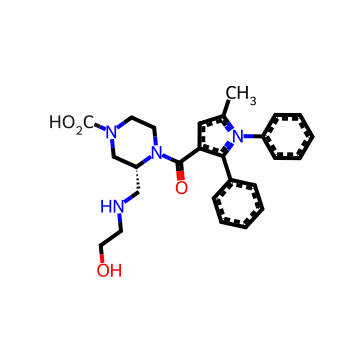 Cc1cc(C(=O)N2CCN(C(=O)O)C[C@H]2CNCCO)c(-c2ccccc2)n1-c1ccccc1